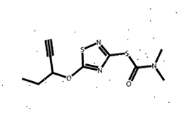 C#CC(CC)Oc1nc(SC(=O)N(C)C)ns1